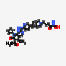 CC(=O)c1c(C)c2cnc(Nc3ccc(C4CC5CN(CCCC(=O)NO)CC5C4)cn3)nc2n(C2CCCC2)c1=O